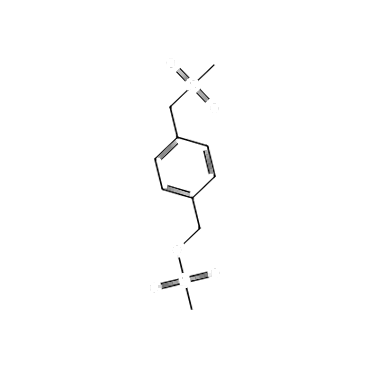 CS(=O)(=O)Cc1ccc(COS(C)(=O)=O)cc1